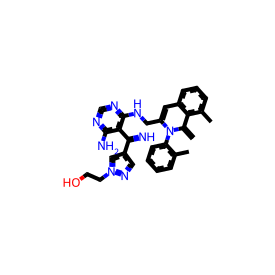 C=C1c2c(C)cccc2C=C(CNc2ncnc(N)c2C(=N)c2cnn(CCO)c2)N1c1ccccc1C